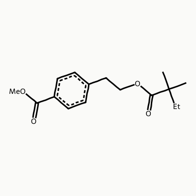 CCC(C)(C)C(=O)OCCc1ccc(C(=O)OC)cc1